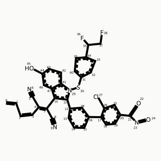 C=C/C=C\C(C#N)=C(/C#N)c1c(-c2cccc(-c3ccc(C(=O)N=O)cc3Cl)c2)n(Sc2ccc(C(F)CF)cc2)c2ccc(O)cc12